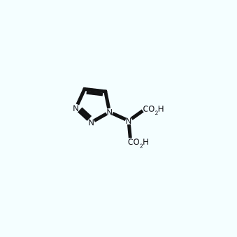 O=C(O)N(C(=O)O)n1ccnn1